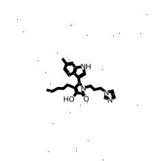 CCCCCC1=C(O)C(=O)N(CCCn2ccnc2)C1c1c[nH]c2cc(C)ccc12